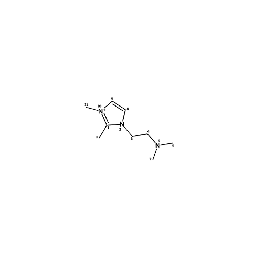 Cc1n(CCN(C)C)cc[n+]1C